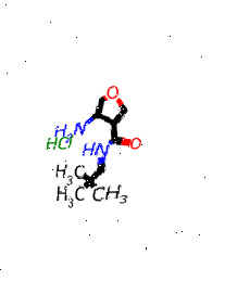 CC(C)(C)CNC(=O)C1COCC1N.Cl